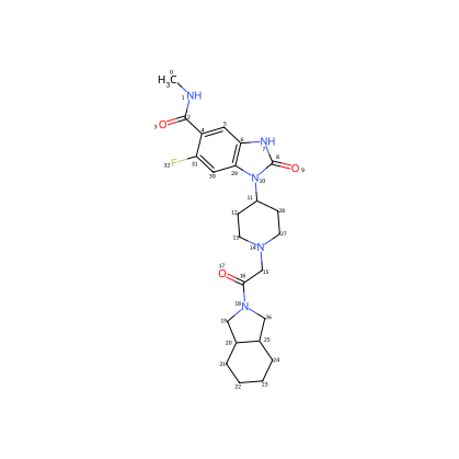 CNC(=O)c1cc2[nH]c(=O)n(C3CCN(CC(=O)N4CC5CCCCC5C4)CC3)c2cc1F